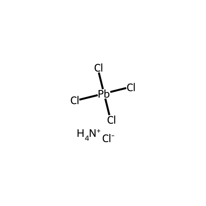 [Cl-].[Cl][Pb]([Cl])([Cl])[Cl].[NH4+]